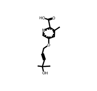 Cc1cc(OCC#CC(C)(C)O)cnc1C(=O)O